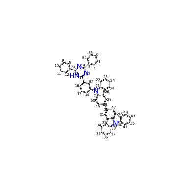 c1ccc(C2=NC(c3ccccc3)NC(c3cccc(-n4c5ccccc5c5cc(-c6cc7c8ccccc8n8c9ccccc9c(c6)c78)ccc54)c3)=N2)cc1